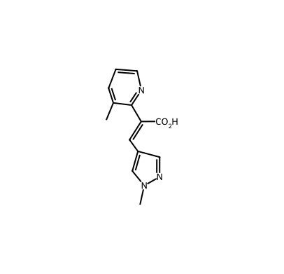 Cc1cccnc1C(=Cc1cnn(C)c1)C(=O)O